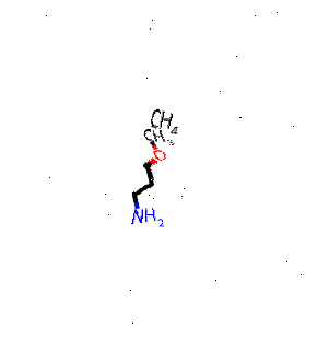 C.COCCCN